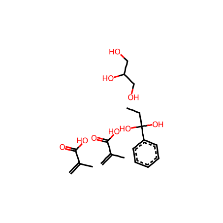 C=C(C)C(=O)O.C=C(C)C(=O)O.CCC(O)(O)c1ccccc1.OCC(O)CO